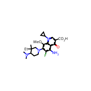 CCC1(C)CN(c2c(F)c(N)c3c(=O)c(C(=O)O)cn(C4CC4)c3c2OC)CCC1N(C)C